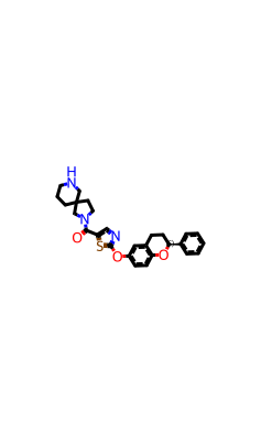 O=C(c1cnc(Oc2ccc3c(c2)CC[C@@H](c2ccccc2)O3)s1)N1CCC2(CCCNC2)C1